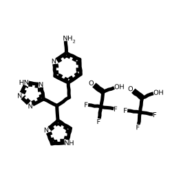 Nc1ccc(CC(c2c[nH]cn2)c2nn[nH]n2)cn1.O=C(O)C(F)(F)F.O=C(O)C(F)(F)F